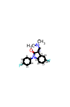 CN(C)/C=C1\C(=O)N(c2ccc(F)cc2)c2ccc(F)cc21